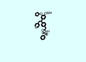 COc1ccc(C(Cc2ccncc2)c2ccc(CC(=O)NS(=O)(=O)c3ccccc3)cc2)cc1OC1CCCC1